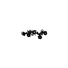 CN(CC(CCN1CCC(Nc2nc3c(Cc4ccoc4)cccc3[nH]2)CC1)c1ccccc1)C(=O)c1ccccc1